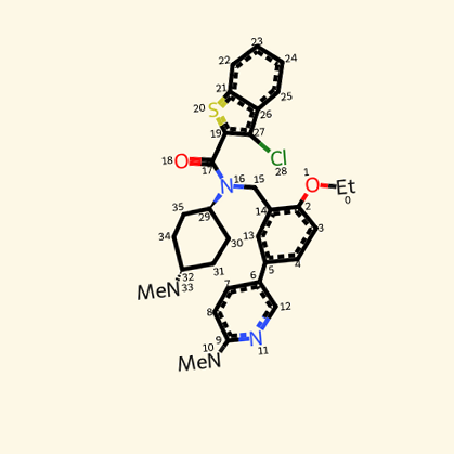 CCOc1ccc(-c2ccc(NC)nc2)cc1CN(C(=O)c1sc2ccccc2c1Cl)[C@H]1CC[C@H](NC)CC1